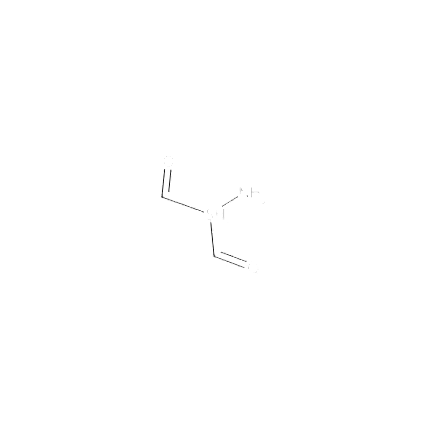 N[SH](C=O)C=O